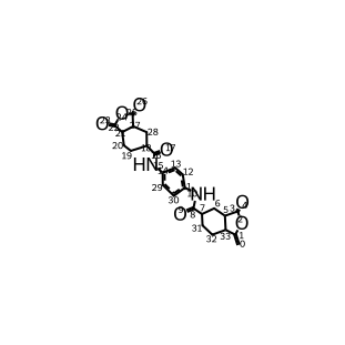 C=C1OC(=O)C2CC(C(=O)Nc3ccc(NC(=O)C4CCC5C(=O)OC(=O)C5C4)cc3)CCC12